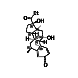 CCC(=O)[C@@]1(O)CC[C@H]2[C@@H]3C[C@H](C)C4=CC(=O)C=C[C@]4(C)[C@H]3[C@@H](O)C[C@@]21C